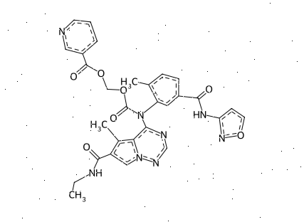 CCNC(=O)c1cn2ncnc(N(C(=O)OCOC(=O)c3cccnc3)c3cc(C(=O)Nc4ccon4)ccc3C)c2c1C